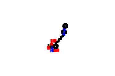 CS(=O)(=O)Nc1cc(C(O)CCCCCN2CCN(c3ccccc3)CC2)ccc1O